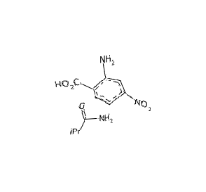 CC(C)C(N)=O.Nc1cc([N+](=O)[O-])ccc1C(=O)O